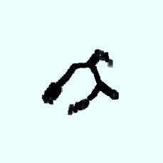 C=C(CC#N)C(=O)O